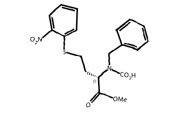 COC(=O)[C@H](CCSc1ccccc1[N+](=O)[O-])N(Cc1ccccc1)C(=O)O